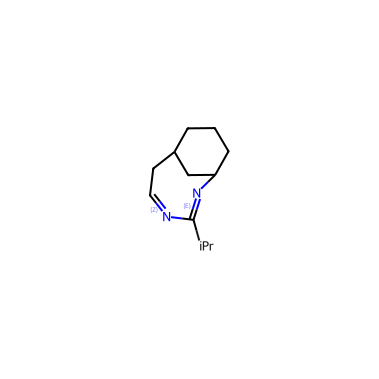 CC(C)C1=N\C2CCCC(C/C=N\1)C2